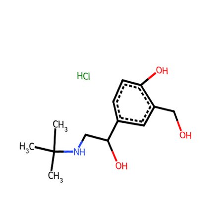 CC(C)(C)NCC(O)c1ccc(O)c(CO)c1.Cl